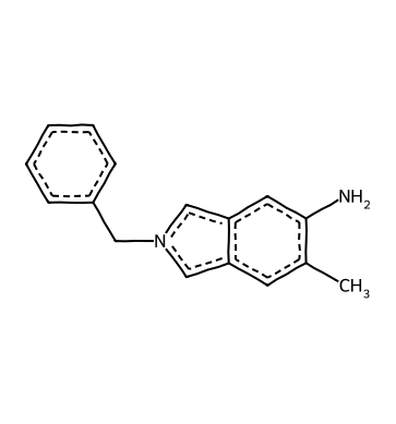 Cc1cc2cn(Cc3ccccc3)cc2cc1N